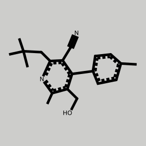 Cc1ccc(-c2c(C#N)c(CC(C)(C)C)nc(C)c2CO)cc1